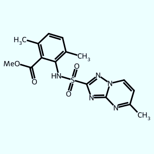 COC(=O)c1c(C)ccc(C)c1NS(=O)(=O)c1nc2nc(C)ccn2n1